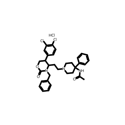 CC(=O)NC1(c2ccccc2)CCN(CCC2C(c3ccc(Cl)c(Cl)c3)COC(=O)N2Cc2ccccc2)CC1.Cl